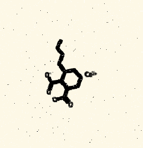 CCCCC1CCCC(C(=O)[O-])C1C(=O)[O-].[Ca+2]